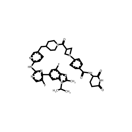 Cc1nc2c(F)cc(-c3nc(Nc4ccc(CC5CCN(C(=O)C6CN(c7ccc(C(=O)NC8CCC(=O)NC8=O)cc7)C6)CC5)cn4)ncc3F)cc2n1C(C)C